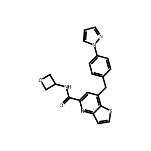 O=C(NC1COC1)c1cc(Cc2ccc(-n3cccn3)cc2)c2sccc2n1